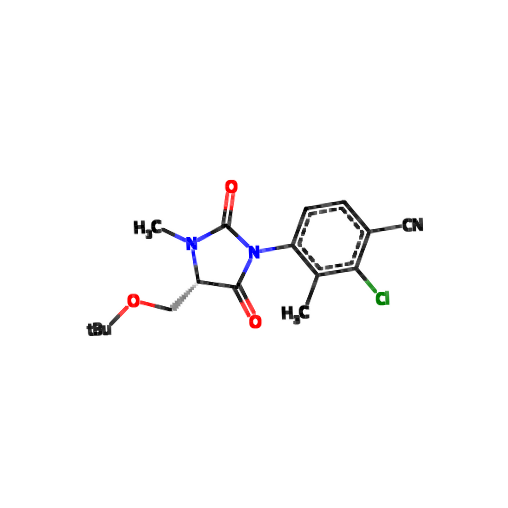 Cc1c(N2C(=O)[C@H](COC(C)(C)C)N(C)C2=O)ccc(C#N)c1Cl